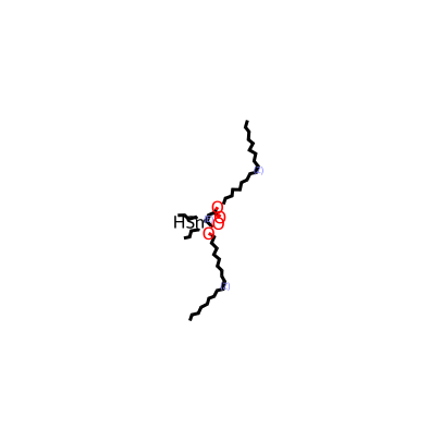 CCCCCCCC/C=C\CCCCCCCCOC(=O)/C=[C](\C(=O)OCCCCCCCC/C=C\CCCCCCCC)[SnH]([CH2]CCC)[CH2]CCC